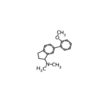 COc1ccccc1-c1ccc2c(c1)C(N(C)C)CC2